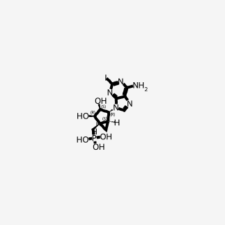 Nc1nc(I)nc2c1ncn2[C@H]1[C@H](O)[C@H](O)[C@@]2(C[PH](O)(O)O)C[C@H]12